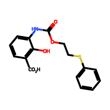 O=C(Nc1cccc(C(=O)O)c1O)OCCSc1ccccc1